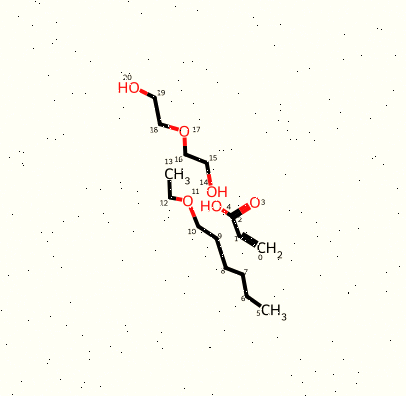 C=CC(=O)O.CCCCCCOCC.OCCOCCO